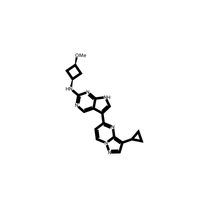 CO[C@H]1C[C@@H](Nc2ncc3c(-c4ccn5ncc(C6CC6)c5n4)c[nH]c3n2)C1